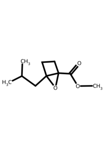 COC(=O)C12CCC1(CC(C)C)O2